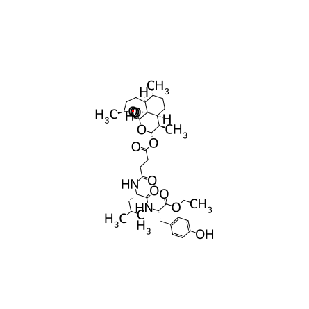 CCOC(=O)[C@H](Cc1ccc(O)cc1)NC(=O)[C@H](CC(C)C)NC(=O)CCC(=O)O[C@@H]1O[C@@H]2O[C@@]3(C)CC[C@H]4[C@H](C)CC[C@@H]([C@H]1C)[C@@]24OO3